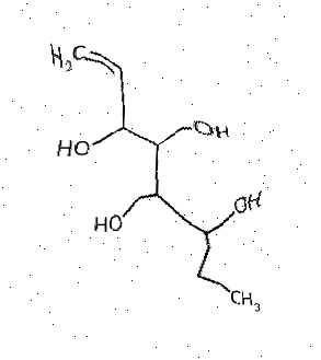 C=CC(O)C(O)C(O)C(O)CC